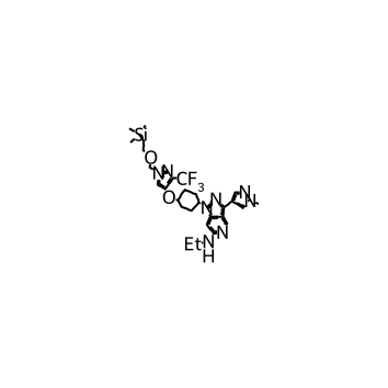 CCNc1cc2c(cn1)c(-c1cnn(C)c1)nn2[C@H]1CC[C@@H](Oc2cn(COCC[Si](C)(C)C)nc2C(F)(F)F)CC1